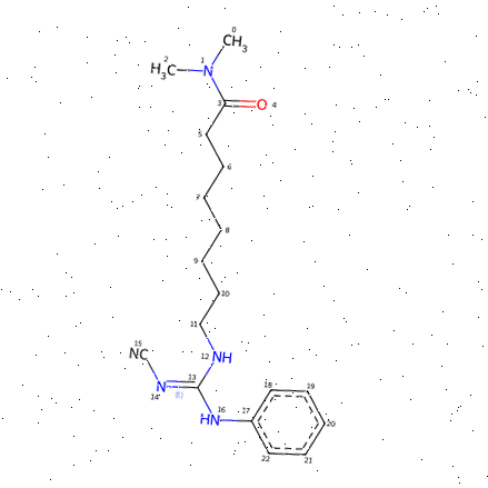 CN(C)C(=O)CCCCCCCN/C(=N\C#N)Nc1ccccc1